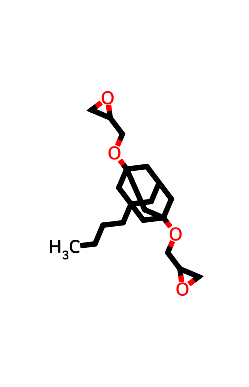 CCCCC12CC3CC(OCC4CO4)(C1)CC(OCC1CO1)(C3)C2